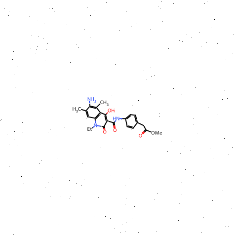 CCn1c(=O)c(C(=O)Nc2ccc(CC(=O)OC)cc2)c(O)c2c(C)c(N)c(C)cc21